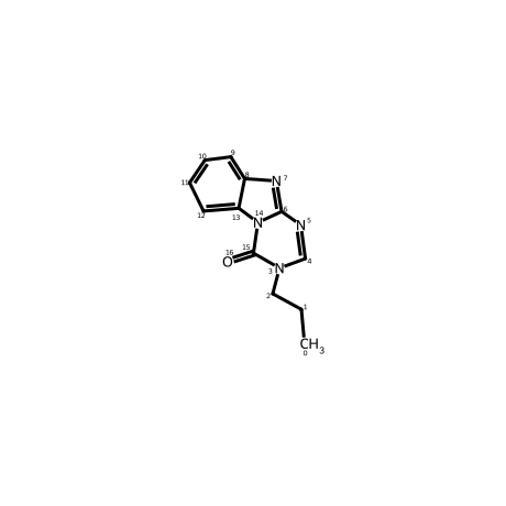 CCCn1cnc2nc3ccccc3n2c1=O